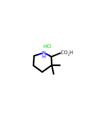 CC1(C)CCCNC1C(=O)O.Cl